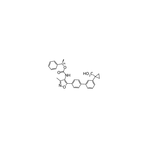 Cc1noc(-c2ccc(-c3cccc(C4(C(=O)O)CC4)c3)cc2)c1NC(=O)O[C@H](C)c1ccccc1